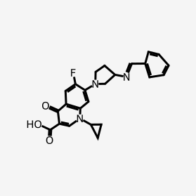 O=C(O)c1cn(C2CC2)c2cc(N3CCC(/N=C/c4ccccc4)C3)c(F)cc2c1=O